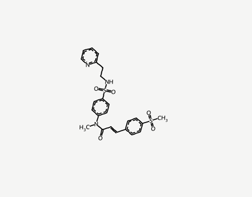 CN(C(=O)C=Cc1ccc(S(C)(=O)=O)cc1)c1ccc(S(=O)(=O)NCCc2ccccn2)cc1